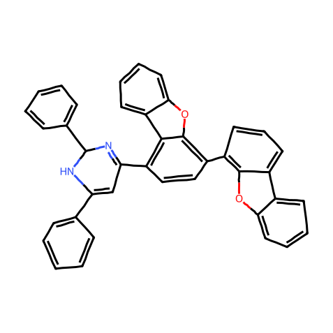 C1=C(c2ccccc2)NC(c2ccccc2)N=C1c1ccc(-c2cccc3c2oc2ccccc23)c2oc3ccccc3c12